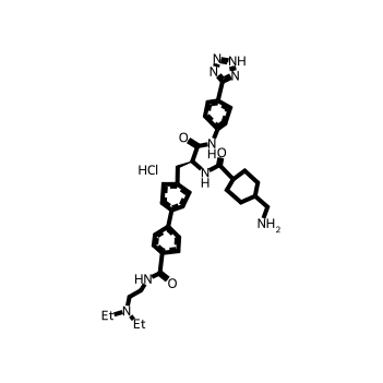 CCN(CC)CCNC(=O)c1ccc(-c2ccc(C[C@H](NC(=O)C3CCC(CN)CC3)C(=O)Nc3ccc(-c4nn[nH]n4)cc3)cc2)cc1.Cl